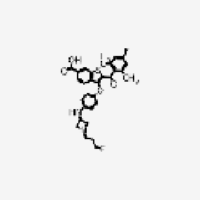 Cc1cc(F)cc(C)c1C(=O)c1sc2cc(C(=O)O)ccc2c1Oc1ccc(NC2CN(CCCF)C2)cc1